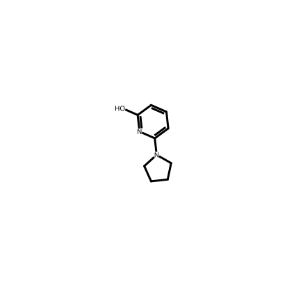 Oc1cccc(N2CCCC2)n1